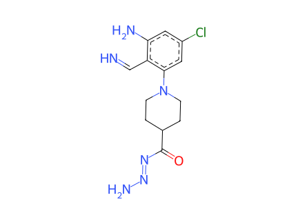 N=Cc1c(N)cc(Cl)cc1N1CCC(C(=O)N=NN)CC1